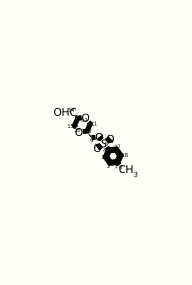 Cc1ccc(S(=O)(=O)OC[C@H]2CO[C@H](C=O)CO2)cc1